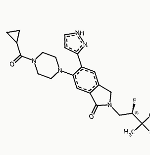 CC(C)(O)[C@H](F)CN1Cc2cc(-c3cc[nH]n3)c(N3CCN(C(=O)C4CC4)CC3)cc2C1=O